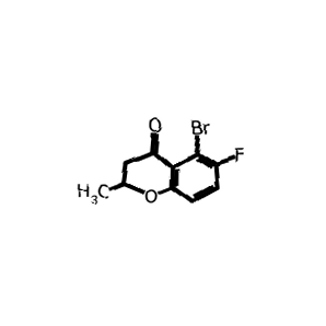 CC1CC(=O)c2c(ccc(F)c2Br)O1